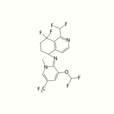 FC(F)OC1=CC(C(F)(F)F)=CN2C[C@@]3(CCC(F)(F)c4c3ccnc4C(F)F)N=C12